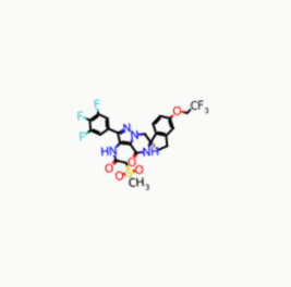 CS(=O)(=O)CC(=O)Nc1c(-c2cc(F)c(F)c(F)c2)nn2c1C(=O)N[C@@]1(CCc3cc(OCC(F)(F)F)ccc31)C2